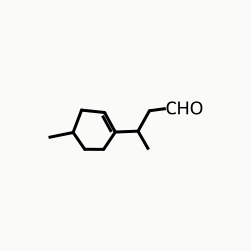 CC1CC=C(C(C)CC=O)CC1